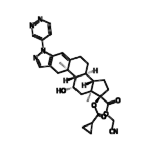 C[C@]12Cc3cnn(-c4ccnnc4)c3C=C1CC[C@@H]1[C@@H]2[C@@H](O)C[C@@]2(C)[C@H]1CC[C@]2(OC(=O)C1CC1)C(=O)OCC#N